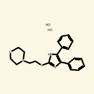 Cl.Cl.c1ccc(-c2nc(SCCN3CCOCC3)[nH]c2-c2ccccc2)cc1